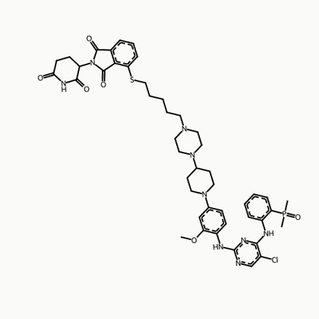 COc1cc(N2CCC(N3CCN(CCCCCSc4cccc5c4C(=O)N(C4CCC(=O)NC4=O)C5=O)CC3)CC2)ccc1Nc1ncc(Cl)c(Nc2ccccc2P(C)(C)=O)n1